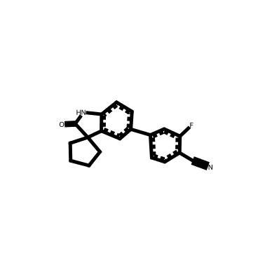 N#Cc1ccc(-c2ccc3c(c2)C2(CCCC2)C(=O)N3)cc1F